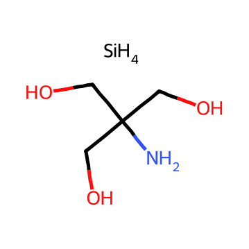 NC(CO)(CO)CO.[SiH4]